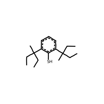 CCC(C)(CC)c1cccc(C(C)(CC)CC)c1S